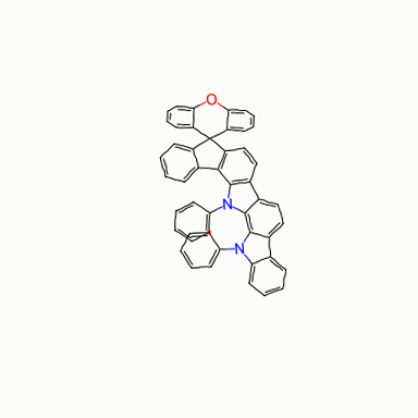 c1ccc(-n2c3ccccc3c3ccc4c5ccc6c(c5n(-c5ccccc5)c4c32)-c2ccccc2C62c3ccccc3Oc3ccccc32)cc1